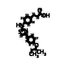 CCC(C)Oc1ccc(-c2csc(Nc3ccc(CCC(=O)O)cc3)n2)cc1